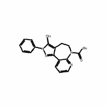 CC(C)(C)C(=O)N1CCc2c(nn(-c3ccccc3)c2O)-c2cccnc21